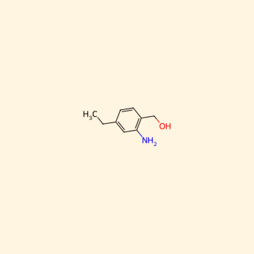 CCc1ccc(CO)c(N)c1